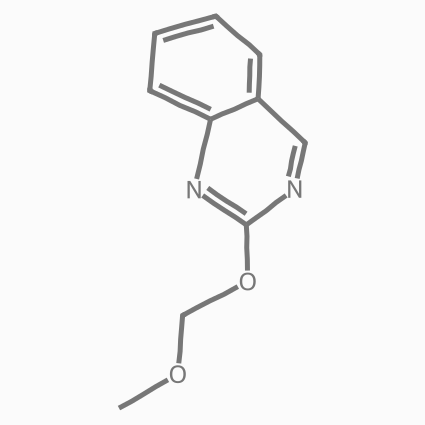 COCOc1ncc2ccccc2n1